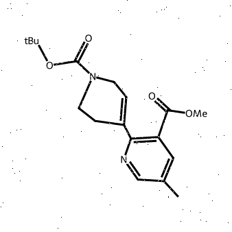 COC(=O)c1cc(C)cnc1C1=CCN(C(=O)OC(C)(C)C)CC1